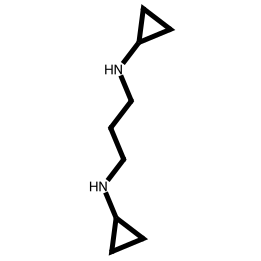 C(CNC1CC1)CNC1CC1